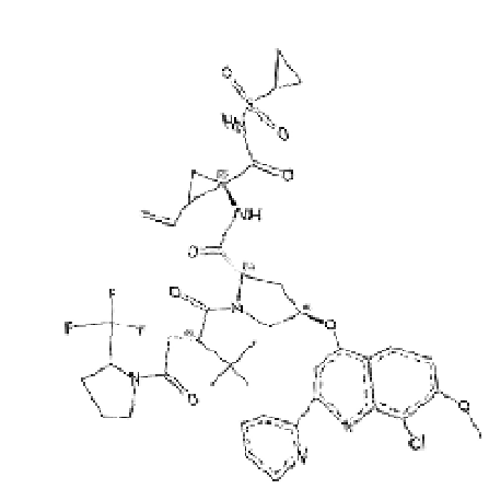 C=CC1C[C@]1(NC(=O)[C@@H]1C[C@@H](Oc2cc(-c3ccccn3)nc3c(Cl)c(OC)ccc23)CN1C(=O)[C@@H](CC(=O)N1CCCC1C(F)(F)F)C(C)(C)C)C(=O)NS(=O)(=O)C1CC1